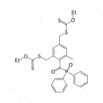 CCOC(=S)SCc1cc(C)c(C(=O)P(=O)(c2ccccc2)c2ccccc2)c(CSC(=S)OCC)c1